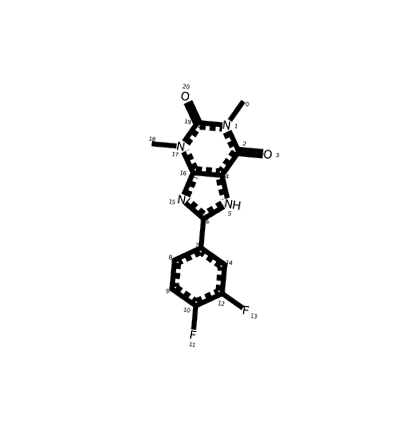 Cn1c(=O)c2[nH]c(-c3ccc(F)c(F)c3)nc2n(C)c1=O